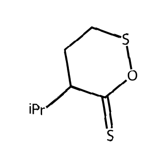 CC(C)C1CCSOC1=S